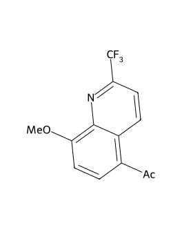 COc1ccc(C(C)=O)c2ccc(C(F)(F)F)nc12